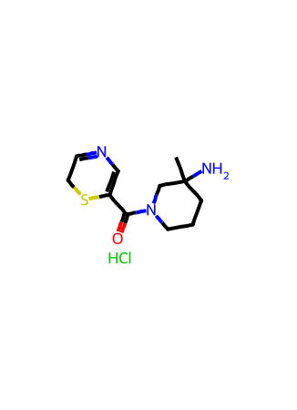 CC1(N)CCCN(C(=O)C2=CN=CCS2)C1.Cl